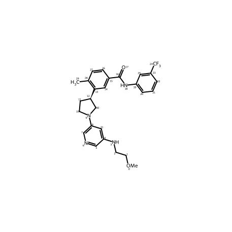 COCCNc1cncc(N2CC[C@@H](c3cc(C(=O)Nc4cccc(C(F)(F)F)c4)ccc3C)C2)c1